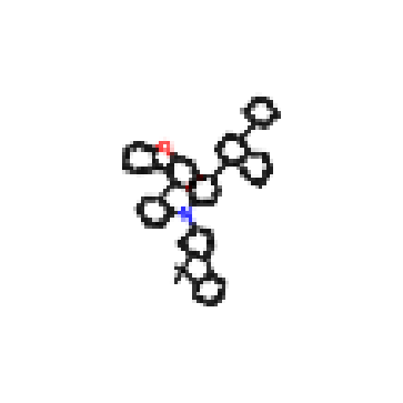 CC1(C)c2ccccc2-c2ccc(N(c3ccc(-c4ccc(-c5ccccc5)c5ccccc45)cc3)c3ccccc3-c3cccc4oc5ccccc5c34)cc21